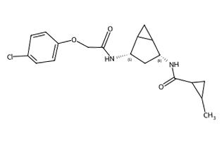 CC1CC1C(=O)N[C@@H]1C[C@H](NC(=O)COc2ccc(Cl)cc2)C2CC21